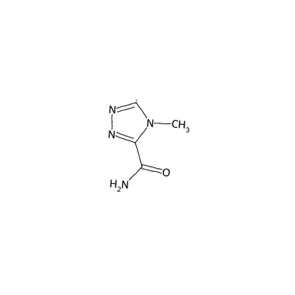 Cn1[c]nnc1C(N)=O